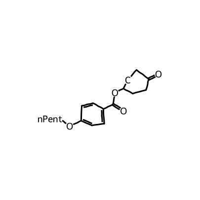 CCCCCOc1ccc(C(=O)OC2CCC(=O)CC2)cc1